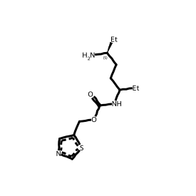 CCC(CC[C@@H](N)CC)NC(=O)OCc1cncs1